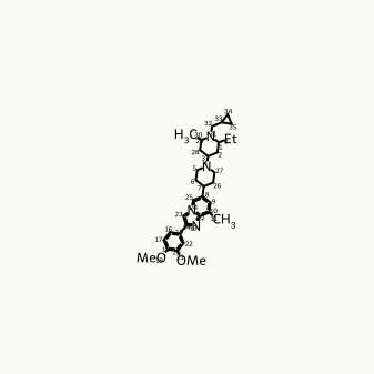 CCC1CC(N2CCC(c3cc(C)c4nc(-c5ccc(OC)c(OC)c5)cn4c3)CC2)CC(C)N1CC1CC1